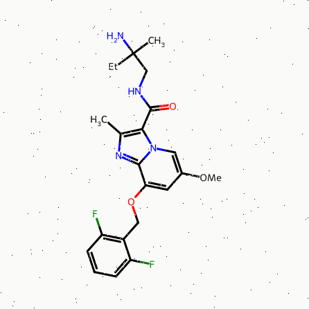 CCC(C)(N)CNC(=O)c1c(C)nc2c(OCc3c(F)cccc3F)cc(OC)cn12